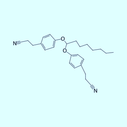 CCCCCCCC(Oc1ccc(CCC#N)cc1)Oc1ccc(CCC#N)cc1